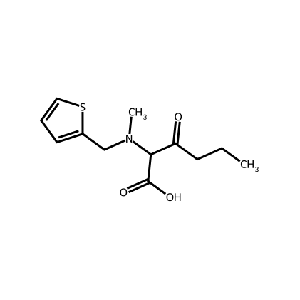 CCCC(=O)C(C(=O)O)N(C)Cc1cccs1